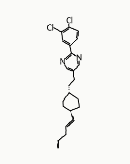 CCC/C=C/[C@H]1CC[C@H](CCc2cnc(-c3ccc(Cl)c(Cl)c3)nc2)CC1